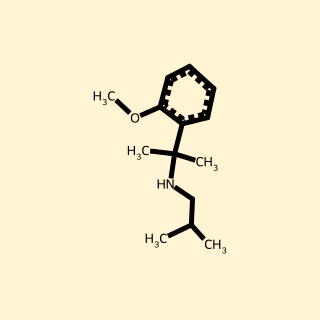 COc1ccccc1C(C)(C)NCC(C)C